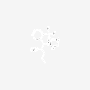 CCCC(O)C(c1ccccc1C(F)(F)F)n1cncn1